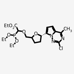 CCOC(=O)C(OCC1CC[C@@H](c2ccc3c(C)nc(Cl)nn23)O1)P(OCC)OCC